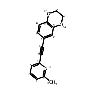 Cc1cccc(C#Cc2ccc3c(c2)OCCO3)n1